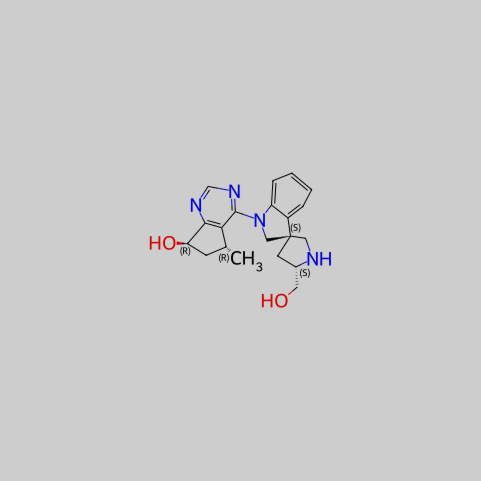 C[C@@H]1C[C@@H](O)c2ncnc(N3C[C@]4(CN[C@H](CO)C4)c4ccccc43)c21